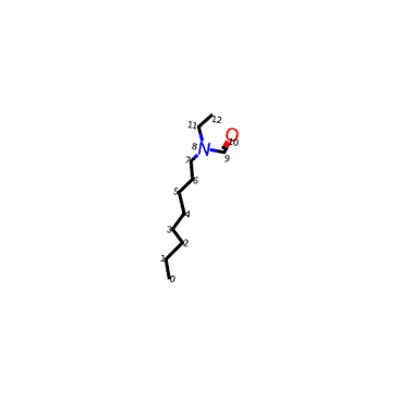 CCCCCCCCN(C=O)CC